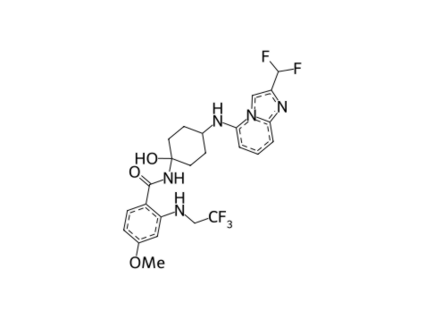 COc1ccc(C(=O)NC2(O)CCC(Nc3cccc4nc(C(F)F)cn34)CC2)c(NCC(F)(F)F)c1